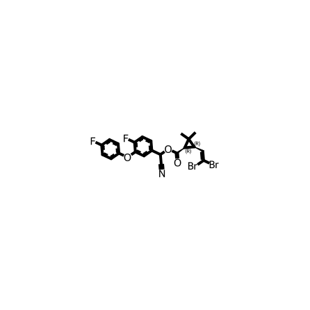 CC1(C)[C@H](C(=O)OC(C#N)c2ccc(F)c(Oc3ccc(F)cc3)c2)[C@@H]1C=C(Br)Br